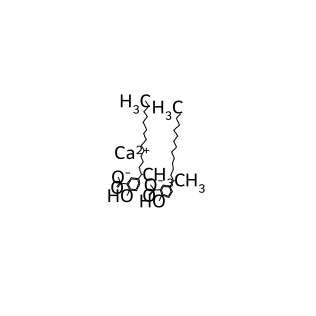 CCCCCCCCCCCCCC(C)c1ccc(O)c(C(=O)[O-])c1.CCCCCCCCCCCCCC(C)c1ccc(O)c(C(=O)[O-])c1.[Ca+2]